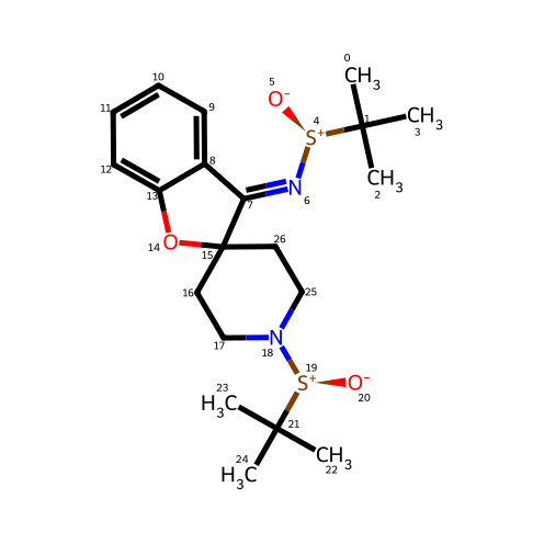 CC(C)(C)[S@+]([O-])N=C1c2ccccc2OC12CCN([S@@+]([O-])C(C)(C)C)CC2